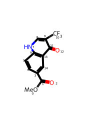 COC(=O)c1ccc2[nH]cc(C(F)(F)F)c(=O)c2c1